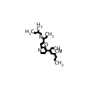 C=C/C=C(C#N)\C=C(/C=C)c1ccnc2cc(/C(C=C)=N/C=C(/C)C=C)oc12